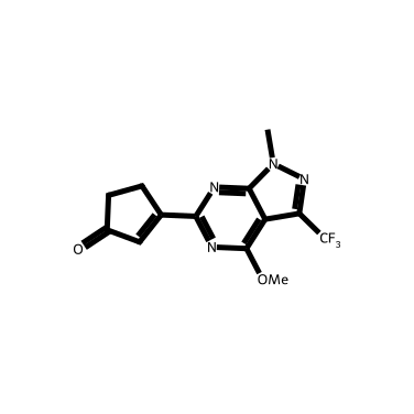 COc1nc(C2=CC(=O)CC2)nc2c1c(C(F)(F)F)nn2C